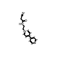 N#CCC(=O)NCC[n+]1ccc(-c2ccncc2)cc1